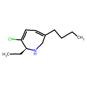 CCCCC1=CC=C(Cl)[C@H](CC)NC1